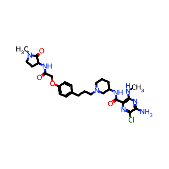 CNc1nc(N)c(Cl)nc1C(=O)NC1CCCN(CCCc2ccc(OCC(=O)NC3CCN(C)C3=O)cc2)C1